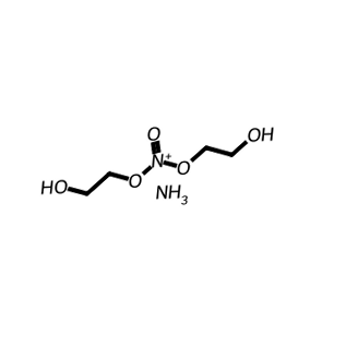 N.O=[N+](OCCO)OCCO